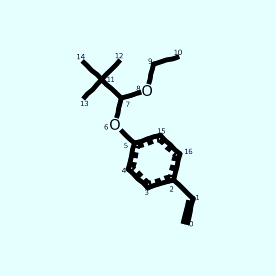 C=Cc1ccc(OC(OCC)C(C)(C)C)cc1